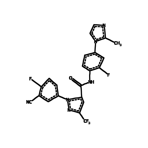 Cc1nccn1-c1ccc(NC(=O)c2cc(C(F)(F)F)nn2-c2ccc(F)c(C#N)c2)c(F)c1